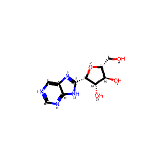 OC[C@H]1O[C@@H](c2nc3cncnc3[nH]2)[C@@H](O)[C@@H]1O